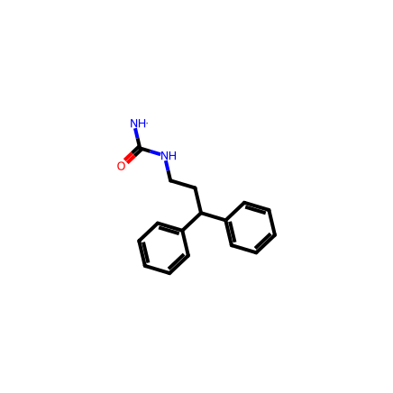 [NH]C(=O)NCCC(c1ccccc1)c1ccccc1